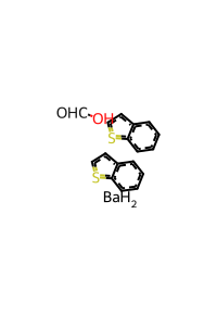 O=CO.[BaH2].c1ccc2sccc2c1.c1ccc2sccc2c1